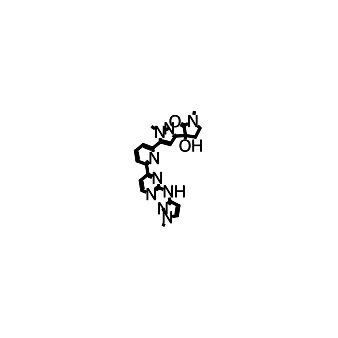 CN1CCC(O)(c2cc(-c3cccc(-c4ccnc(Nc5ccn(C)n5)n4)n3)n(C)n2)C1=O